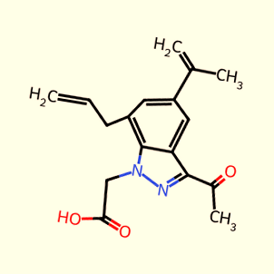 C=CCc1cc(C(=C)C)cc2c(C(C)=O)nn(CC(=O)O)c12